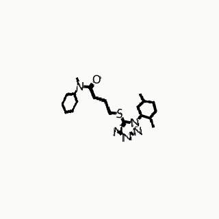 CC1CCC(C)C(n2nnnc2SCCCC(=O)N(C)C2CCCCC2)C1